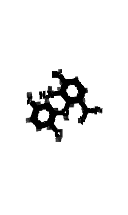 Nc1c(Br)ccc(C(F)F)c1Oc1cc(F)ccc1Cl